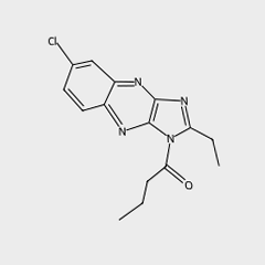 CCCC(=O)n1c(CC)nc2nc3cc(Cl)ccc3nc21